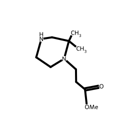 COC(=O)CCN1CCNCC1(C)C